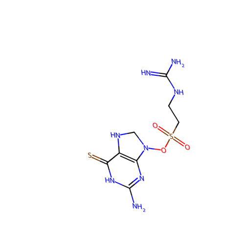 N=C(N)NCCS(=O)(=O)ON1CNc2c1nc(N)[nH]c2=S